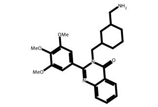 COc1cc(-c2nc3ccccc3c(=O)n2CC2CCCC(CN)C2)cc(OC)c1OC